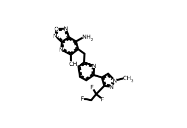 Cc1nc2nonc2c(N)c1Cc1cccc(-c2cn(C)nc2C(F)(F)CF)n1